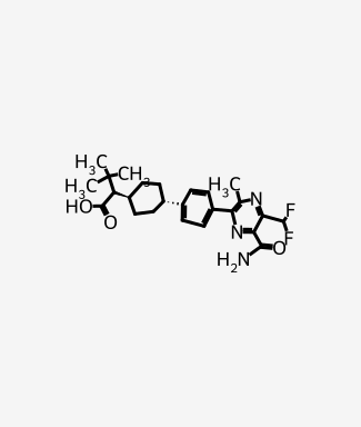 Cc1nc(C(F)F)c(C(N)=O)nc1-c1ccc([C@H]2CC[C@H](C(C(=O)O)C(C)(C)C)CC2)cc1